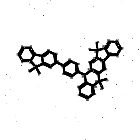 CC1(C)c2ccccc2-c2ccc(-c3ccc(N4c5ccccc5C(C)(C)c5cc6c(cc54)C(C)(C)c4ccccc4-6)cc3)cc21